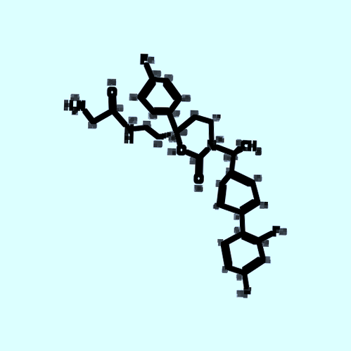 C[C@@H](c1ccc(-c2ccc(F)cc2F)cc1)N1CC[C@](CCNC(=O)CN)(c2ccc(F)cc2)OC1=O